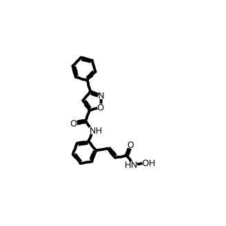 O=C(/C=C/c1ccccc1NC(=O)c1cc(-c2ccccc2)no1)NO